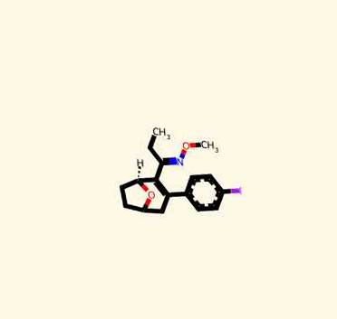 CCC(=NOC)C1=C(c2ccc(I)cc2)CC2CC[C@@H]1O2